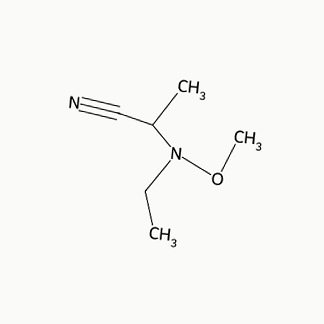 CCN(OC)C(C)C#N